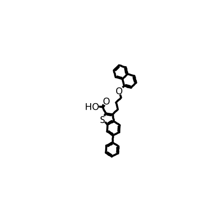 O=C(O)c1sc2cc(-c3ccccc3)ccc2c1CCCOc1cccc2ccccc12